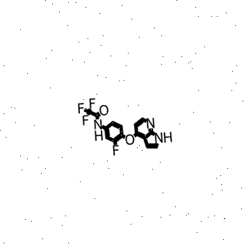 O=C(Nc1ccc(Oc2ccnc3[nH]ccc23)c(F)c1)C(F)(F)F